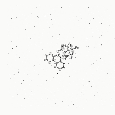 CCC(N(NC(=O)c1ccccc1-c1ccccc1)C(N)=O)(C(F)(F)F)C(F)(F)F